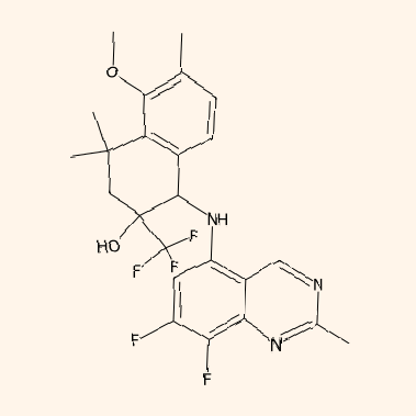 COc1c(C)ccc2c1C(C)(C)CC(O)(C(F)(F)F)C2Nc1cc(F)c(F)c2nc(C)ncc12